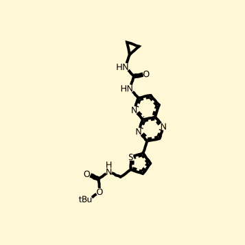 CC(C)(C)OC(=O)NCc1ccc(-c2cnc3ccc(NC(=O)NC4CC4)nc3n2)s1